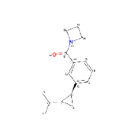 CC(C)[C@H]1C[C@@H]1c1cccc(C(=O)N2CCC2)c1